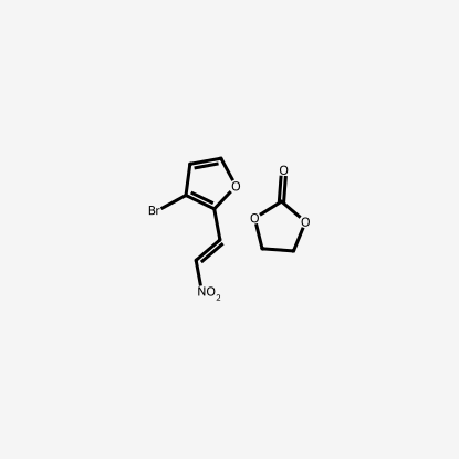 O=C1OCCO1.O=[N+]([O-])C=Cc1occc1Br